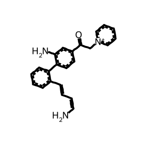 N/C=C\C=Cc1ccccc1-c1ccc(C(=O)C[n+]2ccccc2)cc1N